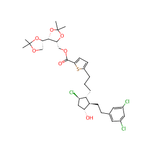 CC1(C)OC[C@@H]([C@@H]2OC(C)(C)O[C@@H]2COC(=O)c2ccc(CCC[C@@H]3[C@@H](CCc4cc(Cl)cc(Cl)c4)[C@H](O)C[C@H]3Cl)s2)O1